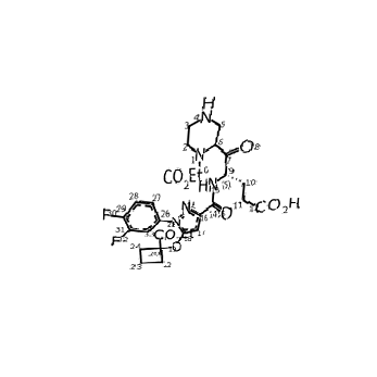 CCOC(=O)N1CCNCC1C(=O)[C@H](CCC(=O)O)NC(=O)c1cc(OC2(C(=O)OCC)CCC2)n(-c2ccc(F)c(F)c2)n1